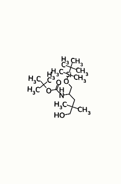 CC(C)(CO)CC(CO[Si](C)(C)C(C)(C)C)NC(=O)OC(C)(C)C